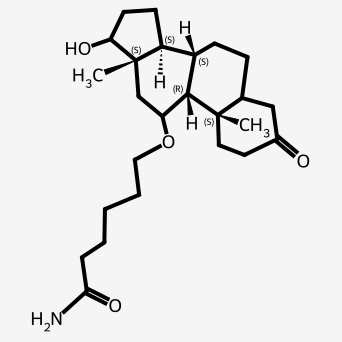 C[C@]12CCC(=O)CC1CC[C@@H]1[C@H]2C(OCCCCCC(N)=O)C[C@]2(C)C(O)CC[C@@H]12